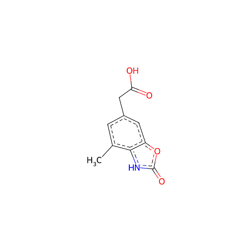 Cc1cc(CC(=O)O)cc2oc(=O)[nH]c12